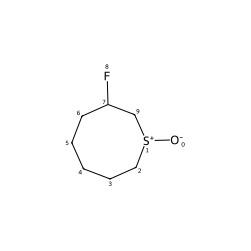 [O-][S+]1CCCCCC(F)C1